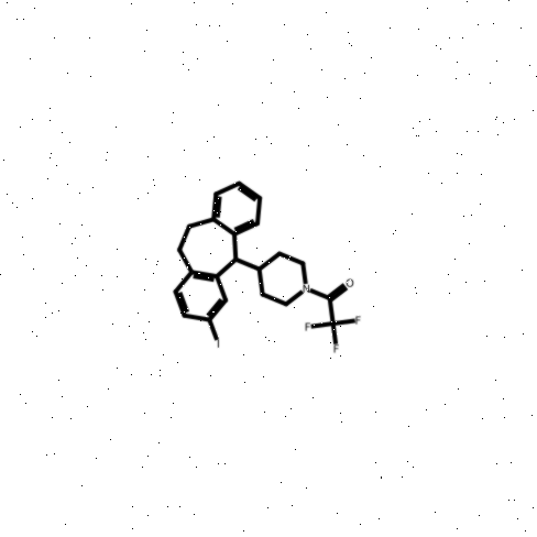 O=C(N1CCC(C2c3ccccc3CCc3ccc(I)cc32)CC1)C(F)(F)F